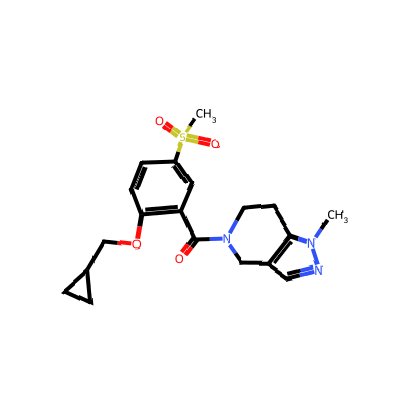 Cn1ncc2c1CCN(C(=O)c1cc(S(C)(=O)=O)ccc1OCC1CC1)C2